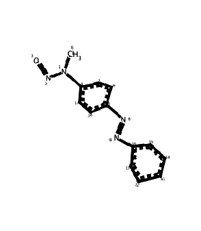 CN(N=O)c1ccc(/N=N/c2ccccc2)cc1